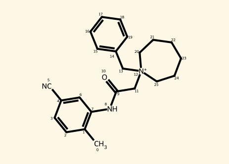 Cc1ccc(C#N)cc1NC(=O)C[N+]1(Cc2ccccc2)CCCCCC1